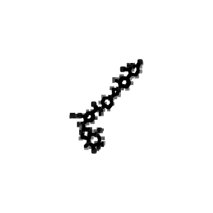 COc1cc(C(=O)NC2CCN(C3CN(c4ccc(C5CCC(=O)NC5=O)cc4F)C3)CC2)ccc1Nc1ncc2c(n1)N(C(C)C)CC(F)(F)C(=O)N2C